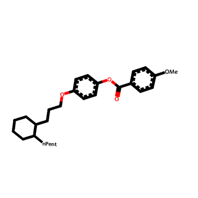 CCCCCC1CCCCC1CCCOc1ccc(OC(=O)c2ccc(OC)cc2)cc1